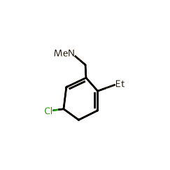 CCC1=CCC(Cl)C=C1CNC